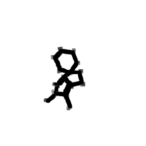 Cc1c2c(nn1C)C1(CCCCC1)CC2